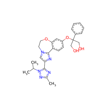 Cc1nc(-c2cn3c(n2)-c2ccc(OC(CO)(CO)c4ccccc4)cc2OCC3)n(C(C)C)n1